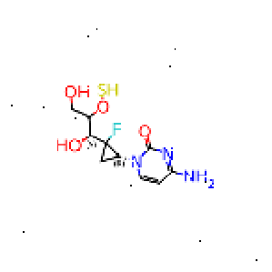 Nc1ccn([C@@H]2CC2(F)[C@@H](O)C(CO)OS)c(=O)n1